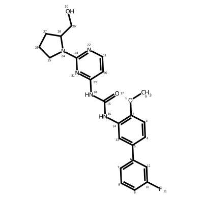 COc1ccc(-c2cccc(F)c2)cc1NC(=O)Nc1ccnc(N2CCCC2CO)n1